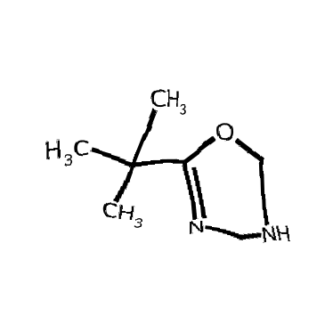 CC(C)(C)C1=NNCO1